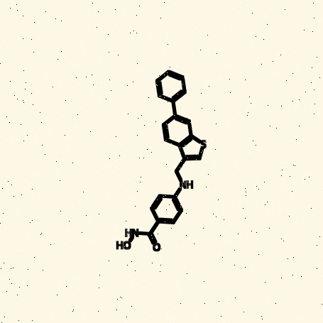 O=C(NO)c1ccc(NCc2csc3cc(-c4ccccc4)ccc23)cc1